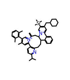 C=C1CC2C(CCc3nc(C(C)C)ccc3-c3cc(C)c(-c4c(C)cccc4C)c[n+]31)c1ccccc1-c1cc(CC3CCCCC3)c([Si](C)(C)C)c[n+]12